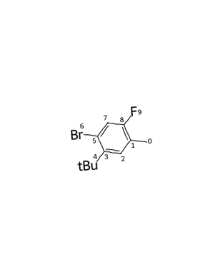 Cc1cc(C(C)(C)C)c(Br)cc1F